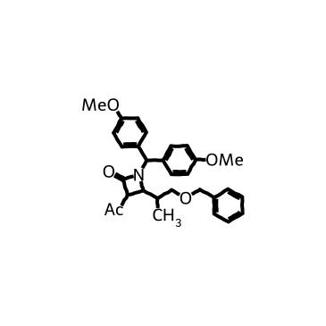 COc1ccc(C(c2ccc(OC)cc2)N2C(=O)C(C(C)=O)C2C(C)COCc2ccccc2)cc1